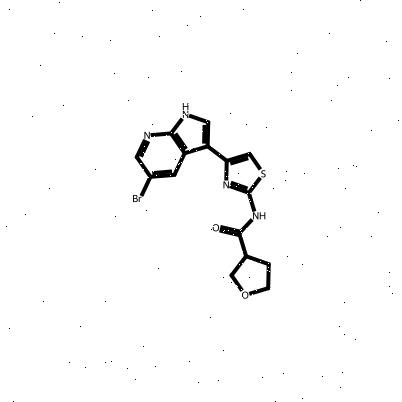 O=C(Nc1nc(-c2c[nH]c3ncc(Br)cc23)cs1)C1CCOC1